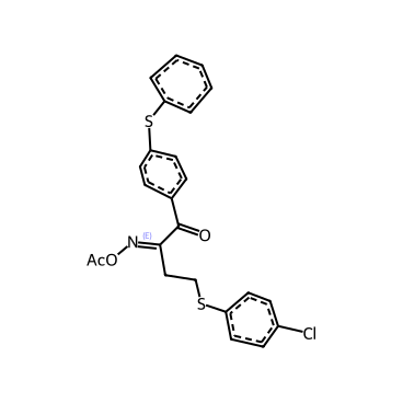 CC(=O)O/N=C(\CCSc1ccc(Cl)cc1)C(=O)c1ccc(Sc2ccccc2)cc1